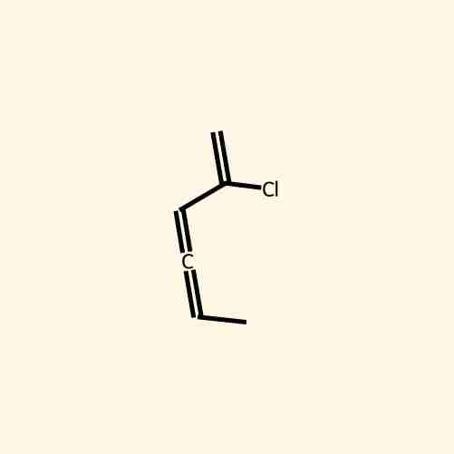 C=C(Cl)C=C=CC